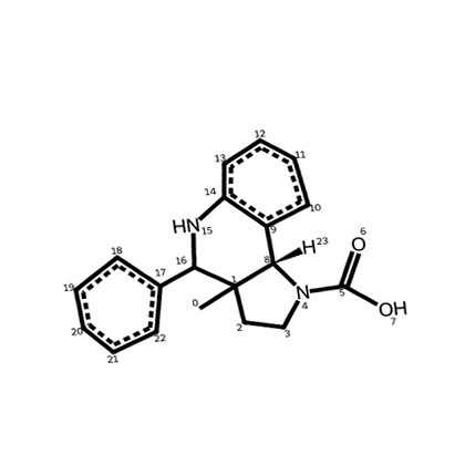 CC12CCN(C(=O)O)[C@H]1c1ccccc1NC2c1ccccc1